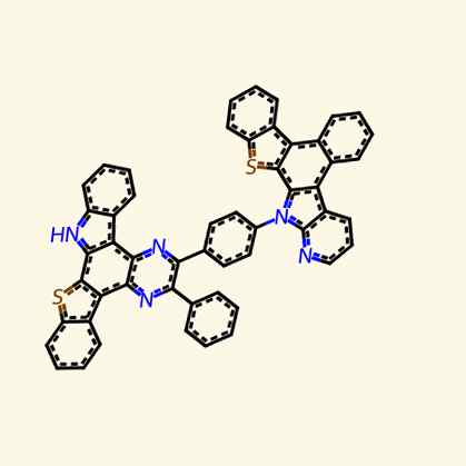 c1ccc(-c2nc3c(nc2-c2ccc(-n4c5ncccc5c5c6ccccc6c6c7ccccc7sc6c54)cc2)c2c4ccccc4[nH]c2c2sc4ccccc4c32)cc1